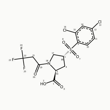 O=C(O)[C@@H]1C[C@@H](S(=O)(=O)c2ccc(Cl)cc2Cl)CN1C(=O)CC(F)(F)F